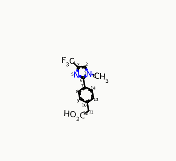 Cn1cc(C(F)(F)F)nc1-c1ccc(CC(=O)O)cc1